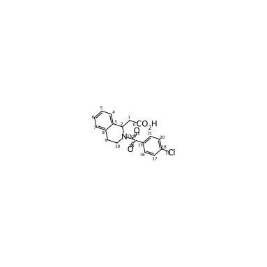 O=C(O)CC1c2ccccc2CCN1S(=O)(=O)c1ccc(Cl)cc1